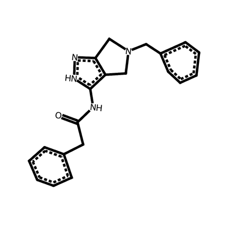 O=C(Cc1ccccc1)Nc1[nH]nc2c1CN(Cc1ccccc1)C2